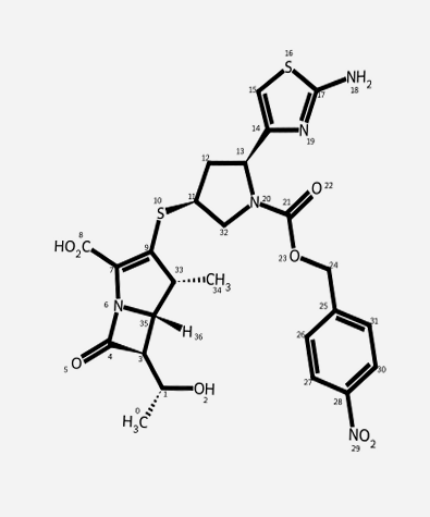 C[C@@H](O)[C@H]1C(=O)N2C(C(=O)O)=C(S[C@H]3C[C@@H](c4csc(N)n4)N(C(=O)OCc4ccc([N+](=O)[O-])cc4)C3)[C@H](C)[C@H]12